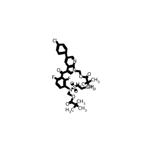 CCCS(=O)(=O)N(COC(=O)C(C)(C)C)c1ccc(F)c(C(=O)c2cn(COC(=O)C(C)(C)C)c3ncc(-c4ccc(Cl)cc4)cc23)c1F